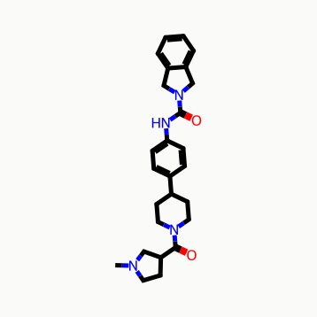 CN1CCC(C(=O)N2CCC(c3ccc(NC(=O)N4Cc5ccccc5C4)cc3)CC2)C1